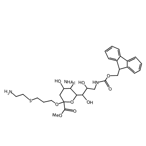 COC(=O)C1(OCCCSCCN)CC(O)C(NC(C)=O)C(C(O)C(O)CNC(=O)OCC2c3ccccc3-c3ccccc32)O1